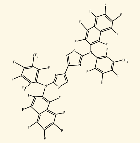 Cc1c(F)c(F)c(F)c(N(c2nc(-c3csc(N(c4c(F)c(C(F)(F)F)c(F)c(F)c4C(F)(F)F)c4c(F)c(F)c5c(F)c(F)c(F)c(F)c5c4F)n3)cs2)c2c(F)c(F)c3c(F)c(F)c(F)c(F)c3c2F)c1F